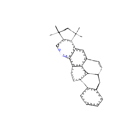 CC1(C)CC(C)(C)c2c1cnc1c2cc2c3c4c(ccc31)-c1ccccc1CC4C=C2